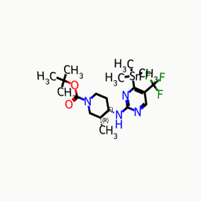 C[C@@H]1CN(C(=O)OC(C)(C)C)CC[C@@H]1Nc1ncc(C(F)(F)F)[c]([Sn]([CH3])([CH3])[CH3])n1